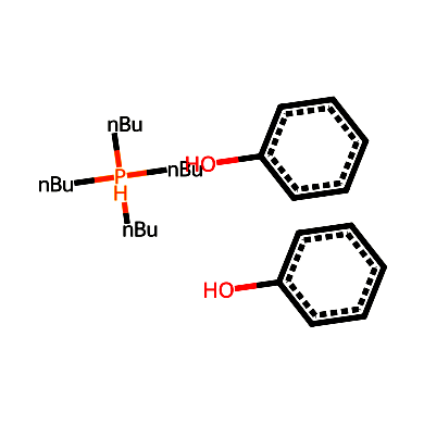 CCCC[PH](CCCC)(CCCC)CCCC.Oc1ccccc1.Oc1ccccc1